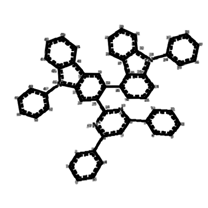 c1ccc(-c2cc(-c3ccccc3)nc(-c3cc4c(cc3-c3cccc5c3c3ccccc3n5-c3ccccc3)c3ccccc3n4-c3ccccc3)n2)cc1